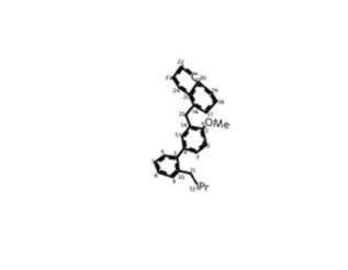 COc1ccc(-c2ccccc2CC(C)C)cc1Cc1cccc2ccccc12